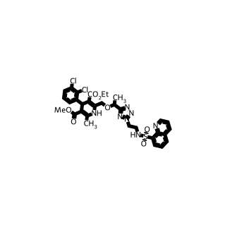 CCOC(=O)C1=C(COC(C)c2nnn(CCNS(=O)(=O)c3cccc4cccnc34)n2)NC(C)=C(C(=O)OC)C1c1cccc(Cl)c1Cl